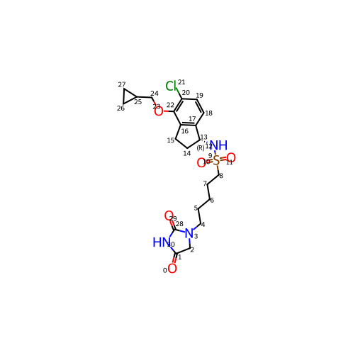 O=C1CN(CCCCCS(=O)(=O)N[C@@H]2CCc3c2ccc(Cl)c3OCC2CC2)C(=O)N1